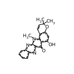 Cn1c2nc3ccccc3nc2c(=O)c2c(O)cc3c(c21)C=CC(C)(C)O3